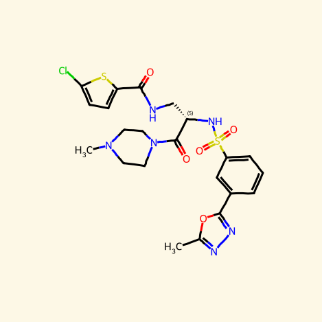 Cc1nnc(-c2cccc(S(=O)(=O)N[C@@H](CNC(=O)c3ccc(Cl)s3)C(=O)N3CCN(C)CC3)c2)o1